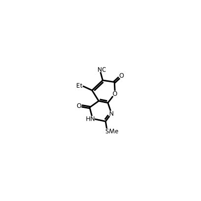 [C-]#[N+]c1c(CC)c2c(=O)[nH]c(SC)nc2oc1=O